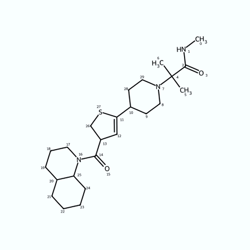 CNC(=O)C(C)(C)N1CCC(C2=CC(C(=O)N3CCCC4CCCCC43)CS2)CC1